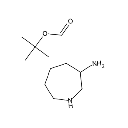 CC(C)(C)OC=O.NC1CCCCNC1